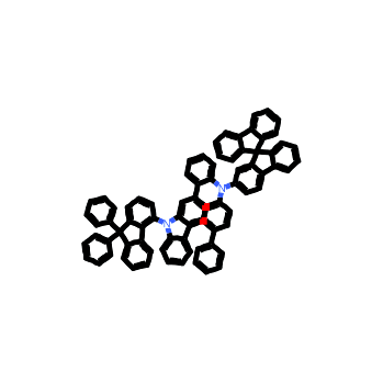 c1ccc(-c2ccc(N(c3ccc4c(c3)C3(c5ccccc5-c5ccccc53)c3ccccc3-4)c3ccccc3-c3ccc4c5ccccc5n(-c5cccc6c5-c5ccccc5C6(c5ccccc5)c5ccccc5)c4c3)cc2)cc1